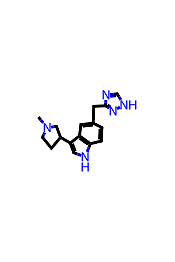 CN1CCC(c2c[nH]c3ccc(Cc4nc[nH]n4)cc23)C1